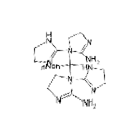 CCCCCCCCCC(C)([N+]1(C2=NCCN2)CCN=C1N)[N+]1(C2=NCCN2)CCN=C1N